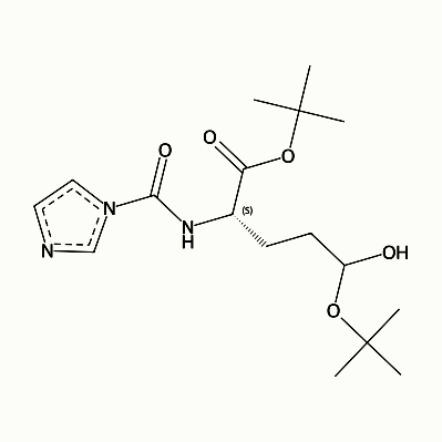 CC(C)(C)OC(=O)[C@H](CCC(O)OC(C)(C)C)NC(=O)n1ccnc1